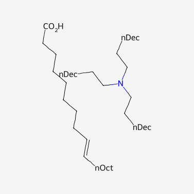 CCCCCCCCC=CCCCCCCCC(=O)O.CCCCCCCCCCCCN(CCCCCCCCCCCC)CCCCCCCCCCCC